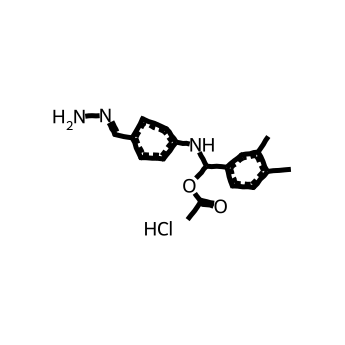 CC(=O)OC(Nc1ccc(C=NN)cc1)c1ccc(C)c(C)c1.Cl